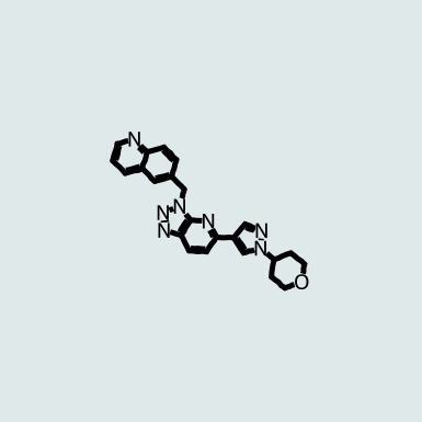 c1cnc2ccc(Cn3nnc4ccc(-c5cnn(C6CCOCC6)c5)nc43)cc2c1